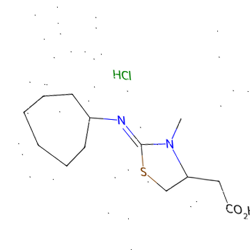 CN1C(=NC2CCCCCC2)SCC1CC(=O)O.Cl